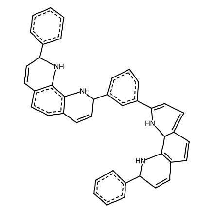 C1=CC2=C(NC(c3ccccc3)C=C2)C2NC(c3cccc(C4C=Cc5ccc6c(c5N4)NC(c4ccccc4)C=C6)c3)=CC=C12